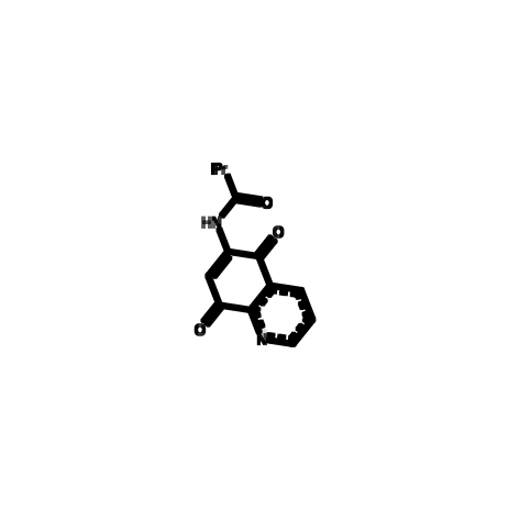 CC(C)C(=O)NC1=CC(=O)c2ncccc2C1=O